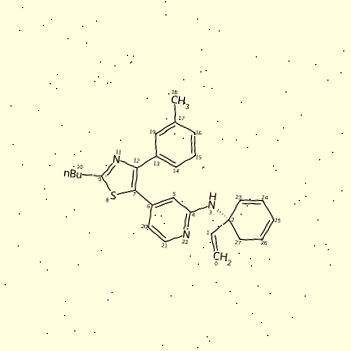 C=C[C@@]1(Nc2cc(-c3sc(CCCC)nc3-c3cccc(C)c3)ccn2)C=CC=CC1